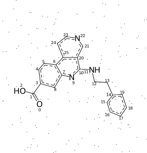 O=C(O)c1ccc2c(c1)nc(NCCc1ccccc1)c1cnccc12